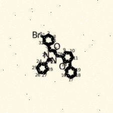 Brc1ccc2oc3c(-c4cccc5c4oc4ccccc45)nc(-c4ccccc4)nc3c2c1